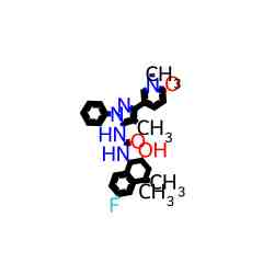 Cc1c(-c2ccc(=O)n(C)c2)nn(-c2ccccc2)c1NC(=O)N[C@@H]1c2ccc(F)cc2C(C)(C)C[C@H]1O